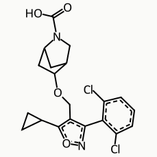 O=C(O)N1CC2CC1CC2OCc1c(-c2c(Cl)cccc2Cl)noc1C1CC1